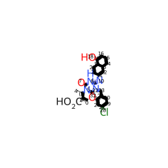 C[C@@H](C(=O)O)[C@H](C)n1c(=O)[nH]/c(=N\C2=CC3C=CC=C(O)C3C=C2)n(Cc2ccc(Cl)cc2)c1=O